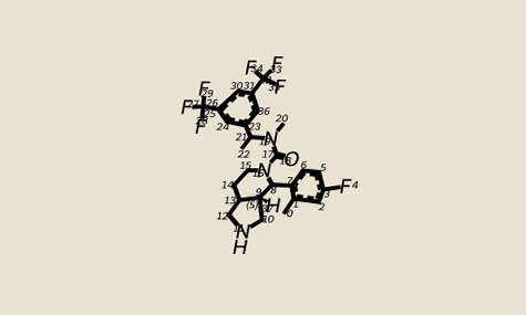 Cc1cc(F)ccc1C1[C@@H]2CNCC2CCN1C(=O)N(C)C(C)c1cc(C(F)(F)F)cc(C(F)(F)F)c1